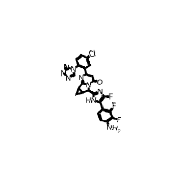 Nc1ccc(-c2[nH]c(C3C4CC4c4nc(-c5cc(Cl)ccc5-n5cnnn5)cc(=O)n43)nc2F)c(F)c1F